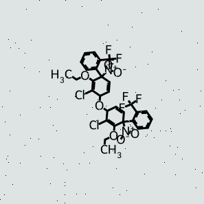 CCOC1=C(Cl)C(OC2C=CC(c3ccccc3C(F)(F)F)([N+](=O)[O-])C(OCC)=C2Cl)C=CC1(c1ccccc1C(F)(F)F)[N+](=O)[O-]